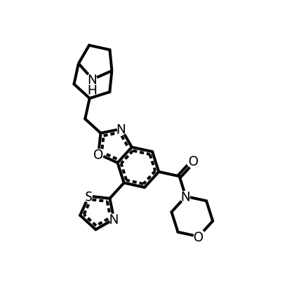 O=C(c1cc(-c2nccs2)c2oc(CC3CC4CCC(C3)N4)nc2c1)N1CCOCC1